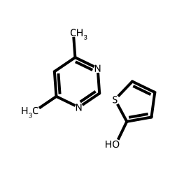 Cc1cc(C)ncn1.Oc1cccs1